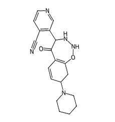 N#Cc1ccncc1C1NNOC2=C(C=CC(N3CCCCC3)C2)C1=O